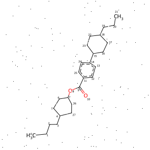 CCCCC1CCC(OC(=O)c2ccc(C3CCC(CCC)CC3)cc2)CC1